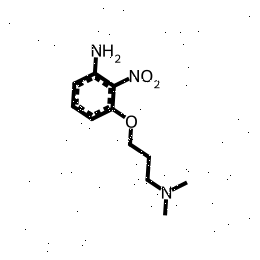 CN(C)CCCOc1cccc(N)c1[N+](=O)[O-]